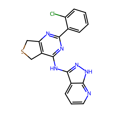 Clc1ccccc1-c1nc2c(c(Nc3n[nH]c4ncccc34)n1)CSC2